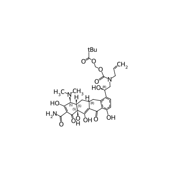 C=CCN(C[C@H](O)c1ccc(O)c2c1C[C@H]1C[C@H]3[C@H](N(C)C)C(O)=C(C(N)=O)C(=O)[C@@]3(O)C(O)=C1C2=O)C(=O)OCOC(=O)C(C)(C)C